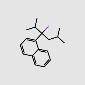 CC(C)CC(I)(c1cccc2ccccc12)C(C)C